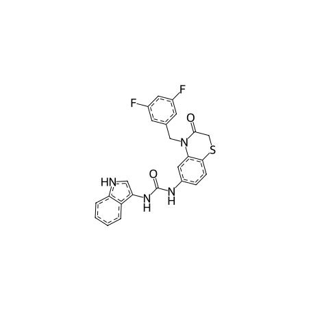 O=C(Nc1ccc2c(c1)N(Cc1cc(F)cc(F)c1)C(=O)CS2)Nc1c[nH]c2ccccc12